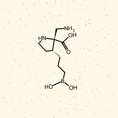 NC[C@]1(C(=O)O)NCC[C@H]1CCCB(O)O